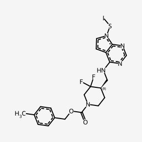 Cc1ccc(COC(=O)N2CC[C@H](CNc3ncnc4c3ccn4SI)C(F)(F)C2)cc1